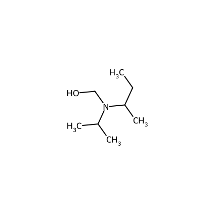 CCC(C)N(CO)C(C)C